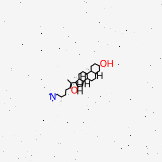 CC1=C(CC[C@H](C)CN(C)C)O[C@H]2C[C@H]3C4CC[C@H]5C[C@@H](O)CC[C@]5(C)[C@H]4CC[C@]3(C)[C@@H]12